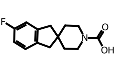 O=C(O)N1CCC2(CC1)Cc1ccc(F)cc1C2